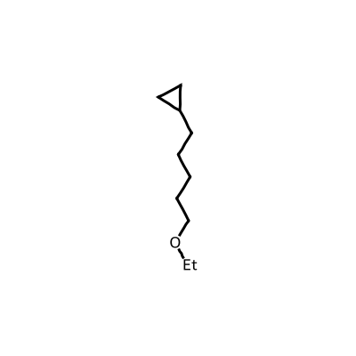 CCOCCCCCC1CC1